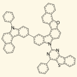 c1ccc(-c2nc(-n3c4ccc(-c5ccc6c(c5)c5c7ccccc7ccc5n6-c5ccccc5)cc4c4c5c(ccc43)oc3c4ccccc4ccc35)nc3c2sc2ccccc23)cc1